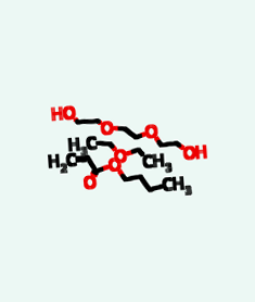 C=CC(=O)OCCCC.CCOCC.OCCOCCOCCO